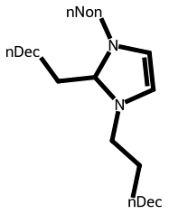 CCCCCCCCCCCCN1C=CN(CCCCCCCCC)C1CCCCCCCCCCC